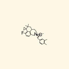 Cc1ccc(C[S+]([O-])N2CCC3CC(C)(C)C4(CC4)c4c(F)ccc(c43)C2)cc1C